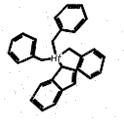 C1=C[CH]([Hf]([CH2]c2ccccc2)([CH2]c2ccccc2)[CH2]c2ccccc2)c2ccccc21